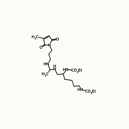 CCOC(=O)NCCCCC(CNC(C)NCCCN1C(=O)C=C(C)C1=O)NC(=O)OCC